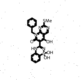 CSc1ncc2c(O)c(C3=NS(O)(O)c4ccccc4N3)c(=O)n(Cc3ccccc3)c2n1